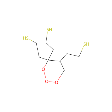 SCCC1COOOC1(CCS)CCS